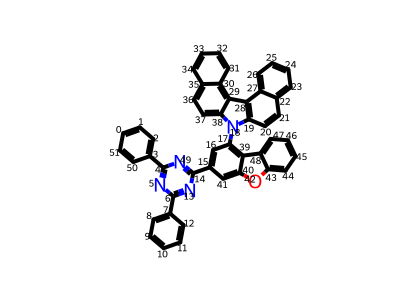 c1ccc(-c2nc(-c3ccccc3)nc(-c3cc(-n4c5ccc6ccccc6c5c5c6ccccc6ccc54)c4c(c3)oc3ccccc34)n2)cc1